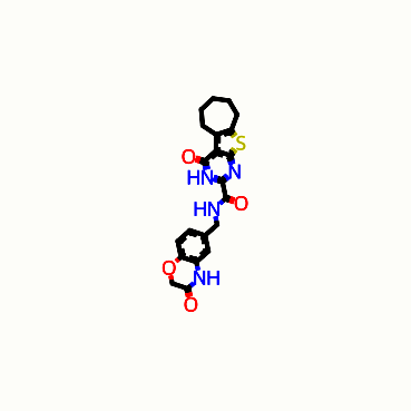 O=C1COc2ccc(CNC(=O)c3nc4sc5c(c4c(=O)[nH]3)CCCCC5)cc2N1